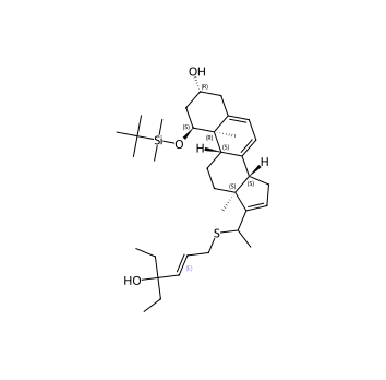 CCC(O)(/C=C/CSC(C)C1=CC[C@H]2C3=CC=C4C[C@@H](O)C[C@H](O[Si](C)(C)C(C)(C)C)[C@]4(C)[C@H]3CC[C@]12C)CC